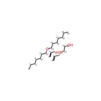 C=CC.C=CC.CCCCCCCOCCCCCCC.OCCO